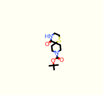 CC(C)(C)OC(=O)N1CCC2(CC1)SCCNC2=O